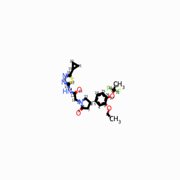 CCOc1cc([C@@H]2CC(=O)N(CC(=O)Nc3nnc(C4CC4)s3)C2)ccc1OC(C)(F)F